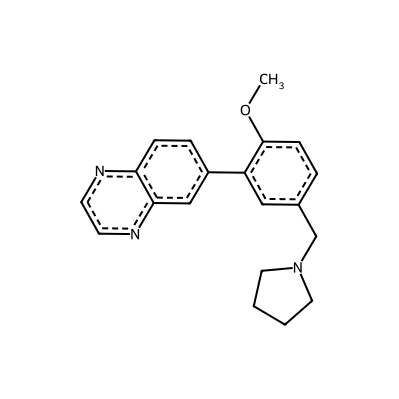 COc1ccc(CN2CCCC2)cc1-c1ccc2nccnc2c1